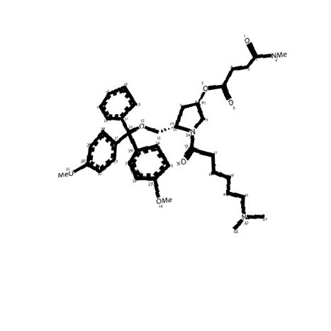 CNC(=O)CCC(=O)O[C@@H]1C[C@@H](COC(c2ccccc2)(c2ccc(OC)cc2)c2ccc(OC)cc2)N(C(=O)CCCCCN(C)C)C1